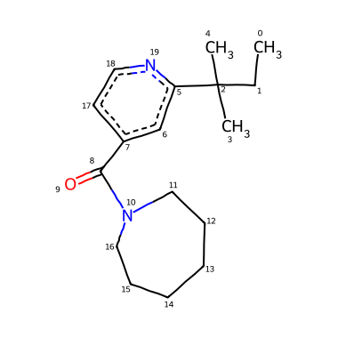 CCC(C)(C)c1cc(C(=O)N2CCCCCC2)ccn1